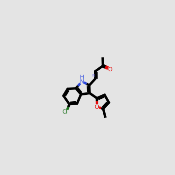 CC(=O)/C=C/c1[nH]c2ccc(Cl)cc2c1-c1ccc(C)o1